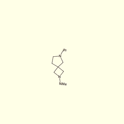 CNN1CC2(CCN(C(C)C)C2)C1